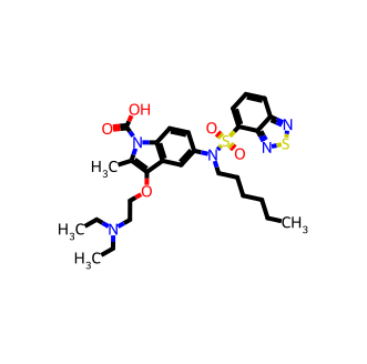 CCCCCCN(c1ccc2c(c1)c(OCCN(CC)CC)c(C)n2C(=O)O)S(=O)(=O)c1cccc2nsnc12